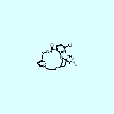 CC1(C)CC2CCCn3ccc(n3)SNC(=O)c3ccc(Cl)nc3N1C2